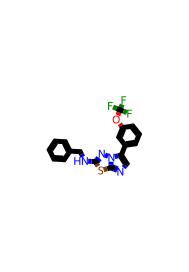 FC(F)(F)Oc1cccc(-c2cnc3sc(NCc4ccccc4)nn23)c1